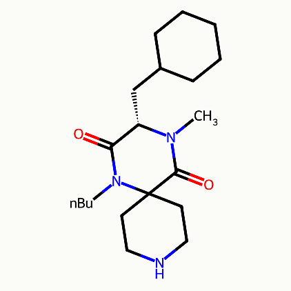 CCCCN1C(=O)[C@H](CC2CCCCC2)N(C)C(=O)C12CCNCC2